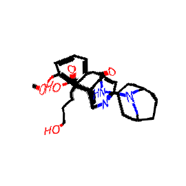 COc1cccc(C(=O)NC2CC3CCC(C2)N3c2ccc(C(=O)O)cn2)c1CCCO